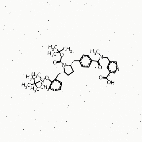 CN(Cc1cncc(C(=O)O)c1)C(=O)c1ccc(C[C@@H]2CC[C@H](Cc3ccccc3O[Si](C)(C)C(C)(C)C)N2C(=O)OC(C)(C)C)cc1